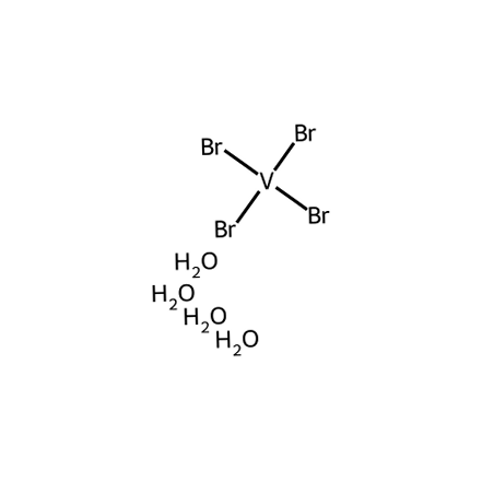 O.O.O.O.[Br][V]([Br])([Br])[Br]